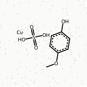 COc1ccc(O)cc1.O=S(=O)(O)O.[Cu]